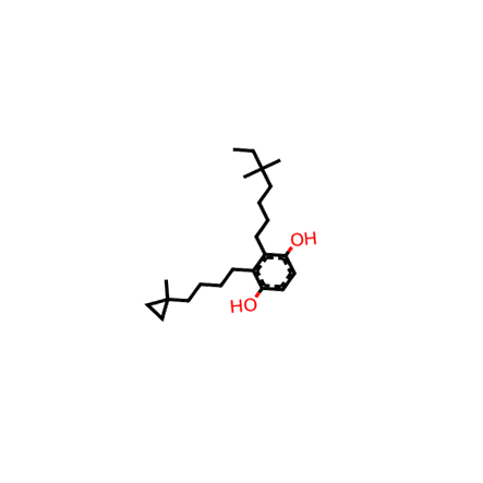 CCC(C)(C)CCCCc1c(O)ccc(O)c1CCCCC1(C)CC1